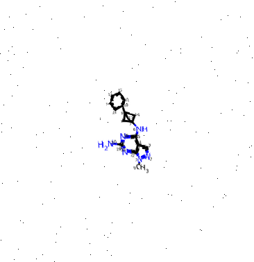 Cn1ncc2c(NC34CC(c5ccccc5)(C3)C4)nc(N)nc21